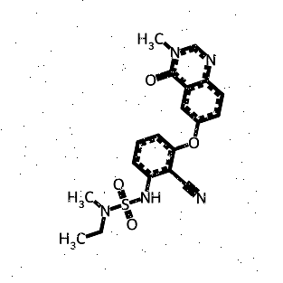 CCN(C)S(=O)(=O)Nc1cccc(Oc2ccc3ncn(C)c(=O)c3c2)c1C#N